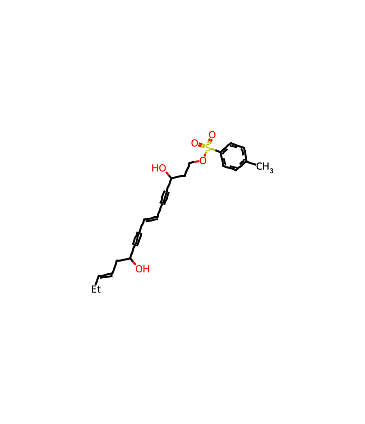 CCC=CCC(O)C#CC=CC#CC(O)CCOS(=O)(=O)c1ccc(C)cc1